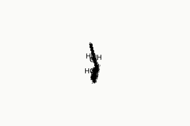 CCCCCCCCNNC(=O)CCCCN(C)c1ccc(-n2nc3ccc(CC)cc3n2)c(O)c1